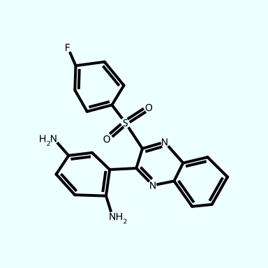 Nc1ccc(N)c(-c2nc3ccccc3nc2S(=O)(=O)c2ccc(F)cc2)c1